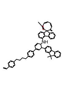 C=Cc1ccc(CCCCc2ccc(C3=CC(c4ccc5c(c4)C(C)(C)c4ccccc4-5)C(Nc4cccc5c4-c4ccccc4C54C(=C)/C=C\C=C/c5c(C)cccc54)C=C3)cc2)cc1